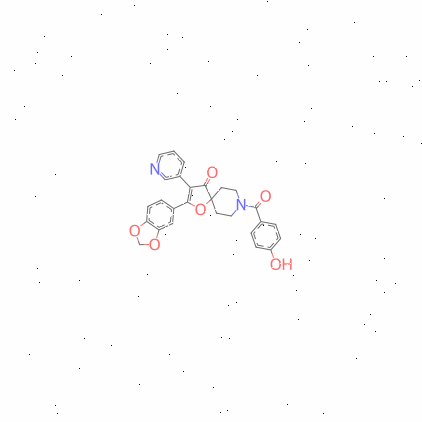 O=C(c1ccc(O)cc1)N1CCC2(CC1)OC(c1ccc3c(c1)OCO3)=C(c1cccnc1)C2=O